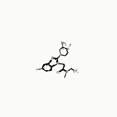 CN(CC(F)(F)F)C(=O)Cn1c(N2CC[C@@H](F)[C@H](N)C2)nc2cc(F)ccc21